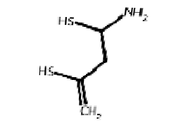 C=C(S)CC(N)S